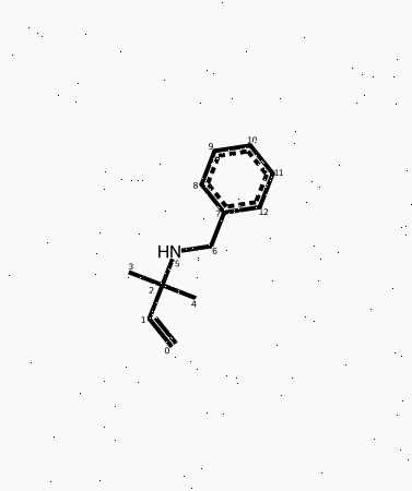 C=CC(C)(C)NCc1ccccc1